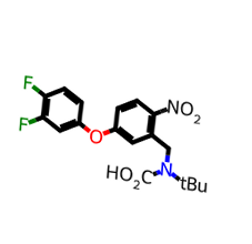 CC(C)(C)N(Cc1cc(Oc2ccc(F)c(F)c2)ccc1[N+](=O)[O-])C(=O)O